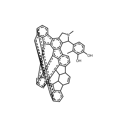 Cc1c(C2c3c(c4c5ccc6c7ccc8c9c%10c%11c%12c%13c%14c(ccc%15c3c3c4c4c5c6c(c97)c%11c4c%12c3c%14%15)C3C=CC8C%10C%133)CN2C)ccc(O)c1O